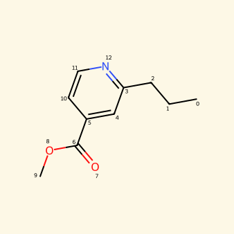 CCCc1cc(C(=O)OC)ccn1